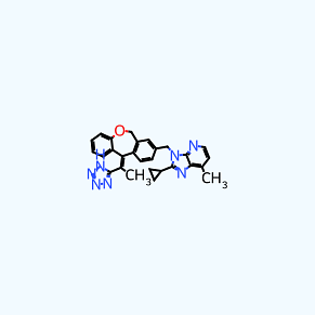 C/C(=C1\c2ccc(Cn3c(C4CC4)nc4c(C)ccnc43)cc2COc2ccccc21)c1nnn[nH]1